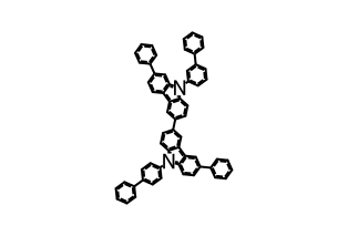 c1ccc(-c2ccc(-n3c4ccc(-c5ccccc5)cc4c4cc(-c5ccc6c(c5)c5ccc(-c7ccccc7)cc5n6-c5cccc(-c6ccccc6)c5)ccc43)cc2)cc1